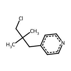 CC(C)(CCl)Cc1ccncc1